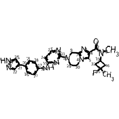 CN(C(=O)c1cn2c(n1)CN(c1nccc(Nc3ccc(-c4cn[nH]c4)cc3)n1)CC2)C1CC(C)(F)C1